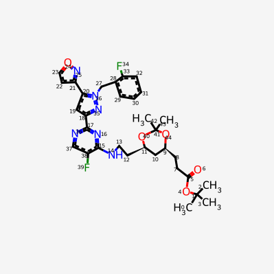 CC(C)(C)OC(=O)CC[C@H]1C[C@@H](CCNc2nc(-c3cc(-c4ccon4)n(Cc4ccccc4F)n3)ncc2F)OC(C)(C)O1